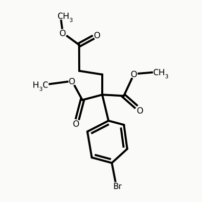 COC(=O)CCC(C(=O)OC)(C(=O)OC)c1ccc(Br)cc1